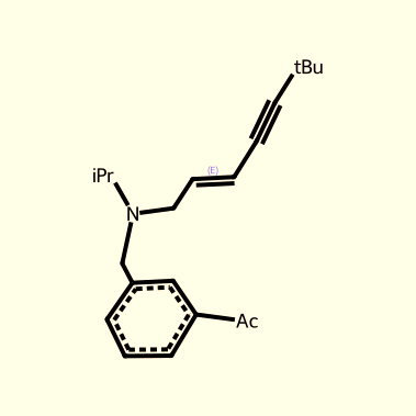 CC(=O)c1cccc(CN(C/C=C/C#CC(C)(C)C)C(C)C)c1